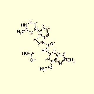 COc1nc(NC(=O)N2CCc3c(N4CCN[C@H](C)C4)ccnc32)cc2cn(C)nc12.O=CO